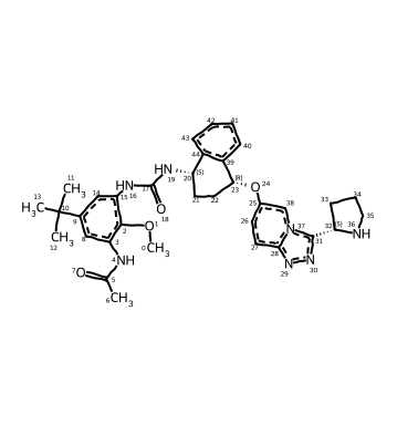 COc1c(NC(C)=O)cc(C(C)(C)C)cc1NC(=O)N[C@H]1CC[C@@H](Oc2ccc3nnc([C@@H]4CCCN4)n3c2)c2ccccc21